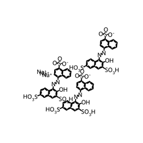 O=S(=O)([O-])c1ccc(N=Nc2c(O)c(S(=O)(=O)O)cc3cc(S(=O)(=O)O)ccc23)c2ccccc12.O=S(=O)([O-])c1ccc(N=Nc2c(O)c(S(=O)(=O)O)cc3cc(S(=O)(=O)O)ccc23)c2ccccc12.O=S(=O)([O-])c1ccc(N=Nc2c(O)c(S(=O)(=O)O)cc3cc(S(=O)(=O)O)ccc23)c2ccccc12.[Na+].[Na+].[Na+]